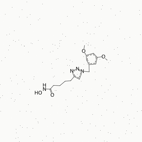 COc1cc(Cn2cc(CCCCC(=O)NO)nn2)cc(OC)c1